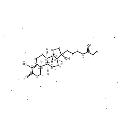 CCC(=O)OCCCC1(O)CC[C@H]2[C@@H]3CCC4=C(O)C(=O)CC[C@]4(C)[C@@H]3CC[C@@]21C